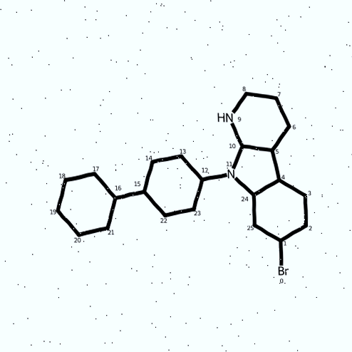 BrC1CCC2C3CCCNC3N(C3CCC(C4CCCCC4)CC3)C2C1